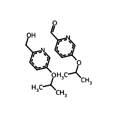 CC(C)Oc1ccc(C=O)nc1.CC(C)Oc1ccc(CO)nc1